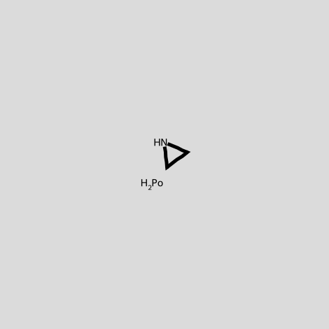 C1CN1.[PoH2]